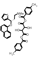 CNCC[C@H](Oc1cccc2ccccc12)c1cccs1.Cc1ccc(C(=O)OC(=O)C(O)C(O)C(=O)OC(=O)c2ccc(C)cc2)cc1